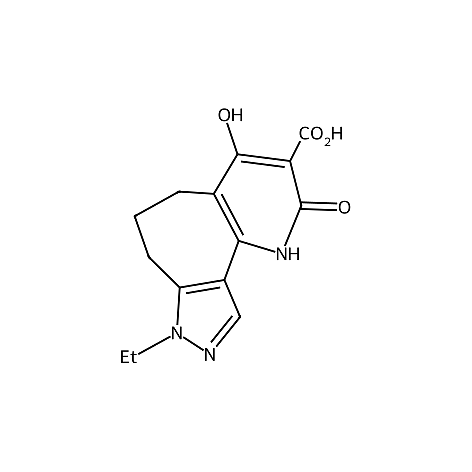 CCn1ncc2c1CCCc1c-2[nH]c(=O)c(C(=O)O)c1O